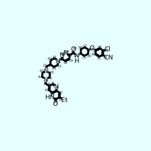 CCc1cc2ncc(CN3CCN(CC4CCN(c5ccc(C(=O)N[C@H]6CC[C@H](Oc7ccc(C#N)c(Cl)c7)CC6)nn5)CC4)CC3)cc2[nH]c1=O